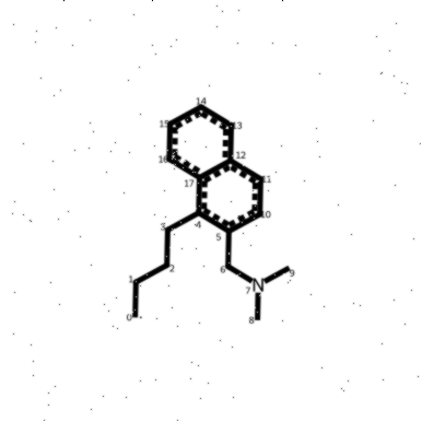 [CH2]CCCc1c(CN(C)C)ccc2ccccc12